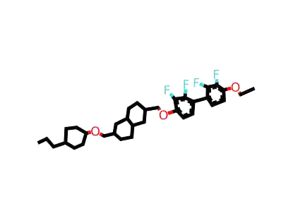 CCCC1CCC(OCC2CCC3CC(COc4ccc(-c5ccc(OCC)c(F)c5F)c(F)c4F)CCC3C2)CC1